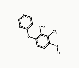 CCOc1ccc(Oc2ccncn2)c(SC)c1C(F)(F)F